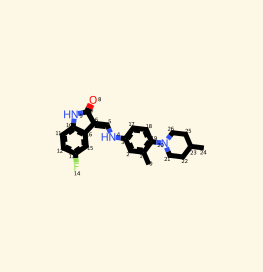 Cc1cc(N/C=C2/C(=O)Nc3ccc(F)cc32)ccc1N1CCC(C)CC1